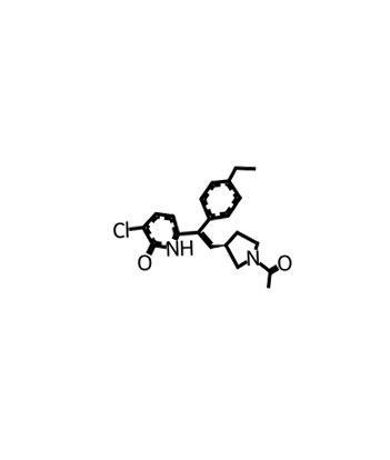 CCc1ccc(/C(=C\[C@H]2CCN(C(C)=O)C2)c2ccc(Cl)c(=O)[nH]2)cc1